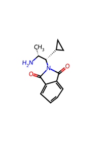 C[C@@H](N)[C@H](C1CC1)N1C(=O)c2ccccc2C1=O